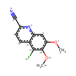 COc1cc2nc(C#N)ccc2c(F)c1OC